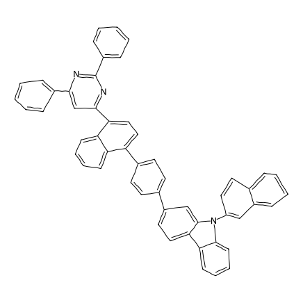 c1ccc(-c2cc(-c3ccc(-c4ccc(-c5ccc6c7ccccc7n(-c7ccc8ccccc8c7)c6c5)cc4)c4ccccc34)nc(-c3ccccc3)n2)cc1